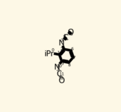 CC(C)c1c(N=C=O)cccc1N=C=O